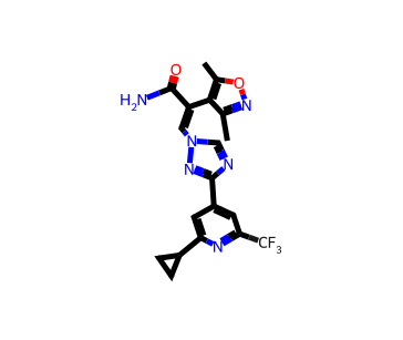 Cc1noc(C)c1/C(=C\n1cnc(-c2cc(C3CC3)nc(C(F)(F)F)c2)n1)C(N)=O